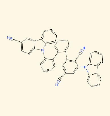 N#Cc1cc(-c2ccccc2-c2ccccc2-n2c3ccccc3c3cc(C#N)ccc32)c(C#N)c(-n2c3ccccc3c3ccccc32)c1